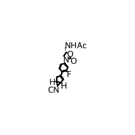 CC(=O)NC[C@H]1CN(c2ccc(C3=C[C@@H]4[C@@H](C#N)[C@@H]4C3)c(F)c2)C(=O)O1